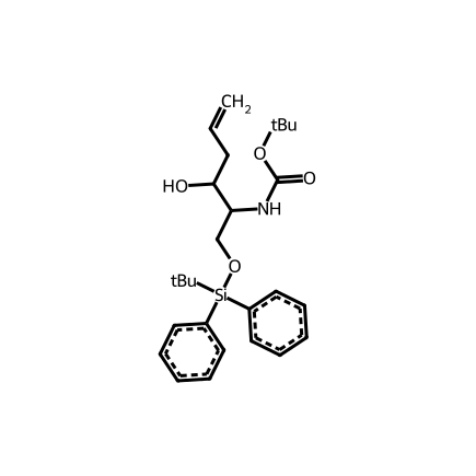 C=CCC(O)C(CO[Si](c1ccccc1)(c1ccccc1)C(C)(C)C)NC(=O)OC(C)(C)C